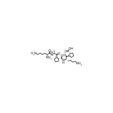 C[C@H](NC(=O)[C@@H](N)CCCCN)C(=O)N1CCC[C@H]1C(=O)N[C@@H](CCCCN)C(=O)N1CCC[C@H]1C(=O)O